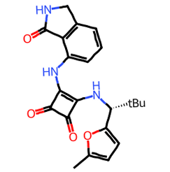 Cc1ccc([C@H](Nc2c(Nc3cccc4c3C(=O)NC4)c(=O)c2=O)C(C)(C)C)o1